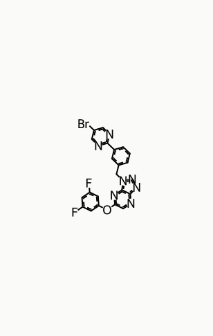 Fc1cc(F)cc(Oc2cnc3nnn(Cc4cccc(-c5ncc(Br)cn5)c4)c3n2)c1